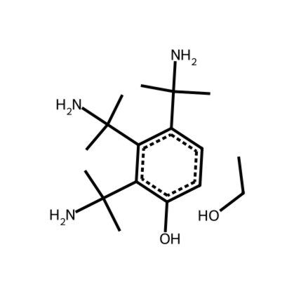 CC(C)(N)c1ccc(O)c(C(C)(C)N)c1C(C)(C)N.CCO